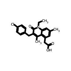 CCn1c(=O)c(Cc2ccc(Cl)cc2)c(C)c2c(CC(=O)O)cc(C)cc21